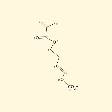 C=C(C)C(=O)OCCC=COC(=O)O